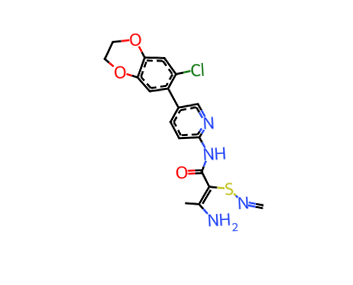 C=NS/C(C(=O)Nc1ccc(-c2cc3c(cc2Cl)OCCO3)cn1)=C(/C)N